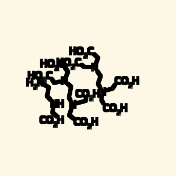 NCCNCC(=O)O.O=C(O)CN(CCN(CC(=O)O)CC(=O)O)CC(=O)O.O=C(O)CN(CCN(CC(=O)O)CC(=O)O)CC(=O)O